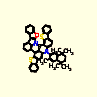 Cc1cc2c(cc1N1c3cc4c(sc5ccccc54)c4c3B(c3c1ccc1c3sc3ccccc31)n1c3oc5ccccc5c3c3cccc-4c31)C(C)(C)CCC2(C)C